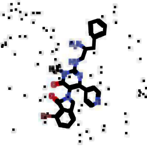 Cn1c(NC[C@@H](N)Cc2ccccc2)nc(-c2ccncc2)c(N2Cc3cccc(Br)c3C2=O)c1=O